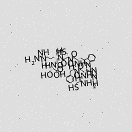 N=C(N)NCCC[C@H](NC(=O)[C@H](CS)NC(=O)[C@H](Cc1c[nH]c2ccccc12)NC(=O)[C@H](Cc1ccccc1)NC(=O)[C@H](Cc1c[nH]cn1)NC(=O)[C@@H](N)CS)C(=O)N[C@@H](CO)C(=O)O